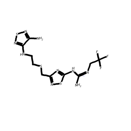 N/C(=N/CC(F)(F)F)Nc1nc(CSCCNc2nsnc2N)ns1